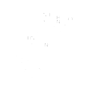 CC(C)C(C)(C)Nc1cc2nc3cc4c(cc3[nH]c-2cc1=N)C(C)(C)CC4(C)C